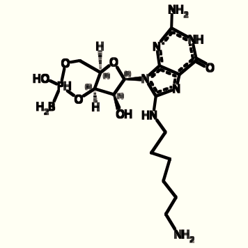 B[PH]1(O)OC[C@H]2O[C@@H](n3c(NCCCCCCN)nc4c(=O)[nH]c(N)nc43)[C@@H](O)[C@H]2O1